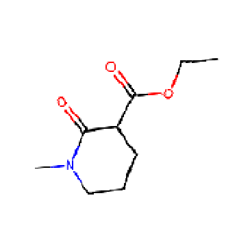 CCOC(=O)C1CCCN(C)C1=O